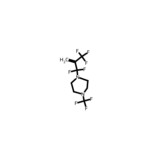 C=C(C(F)(F)F)C(F)(F)N1CCN(C(F)(F)F)CC1